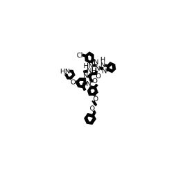 Cc1cc(OCCOCc2ccccc2)ccc1N(C(=O)c1nc[nH]c1C(=O)N(c1nc2ccccc2[nH]1)c1nc2ccc(Cl)cc2[nH]1)c1ccc(OC2CCNCC2)cc1C